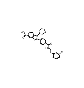 O=C(O)c1ccc2c(c1)nc(-c1ccc(C(=O)NCCc3cccc(Cl)c3)cc1)n2C1CCCCC1